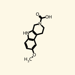 COc1ccc2[nH]c3c(c2c1)CCN(C(=O)O)C3